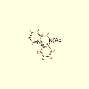 CC(=O)N(Cc1ccccn1)c1ccccc1